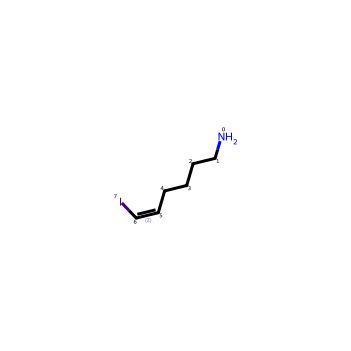 NCCCC/C=C\I